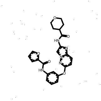 O=C(Nc1cccc(Oc2ccc3nc(NC(=O)C4CCOCC4)cn3n2)c1)c1ccco1